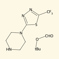 CC(C)(C)OC=O.FC(F)(F)c1nnc(N2CCNCC2)s1